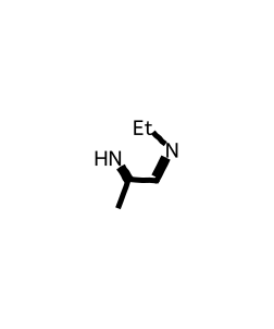 CC/N=C\C(C)=N